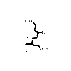 CCC(CCC(=O)O)CCC(CC)CCC(=O)O